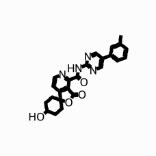 Cc1cccc(-c2cnc(NC(=O)c3nccc4c3C(=O)OC43CCC(O)CC3)nc2)c1